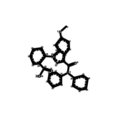 COc1ccc2c(C(=O)N(c3ccccc3)c3ccccc3)nn(-c3ccccc3C(=O)O)c2c1